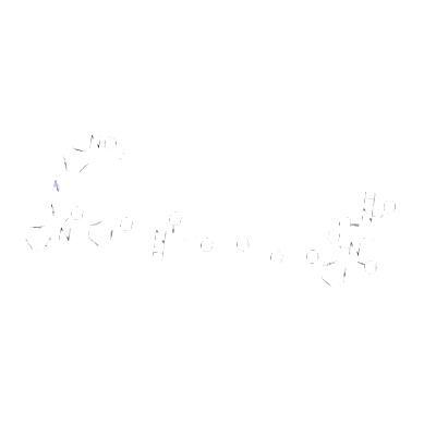 O=C(CCOCCOCCOCCOc1cccc2c1C(=O)N(C1CCC(=O)NC1=O)C2=O)NCCOc1ccc(CN2C(=O)C(=C/C=C/c3ccc([N+](=O)[O-])cc3)c3ccccc32)cc1